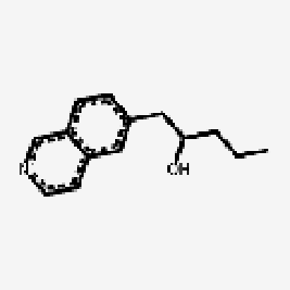 CCCC(O)Cc1ccc2cnccc2c1